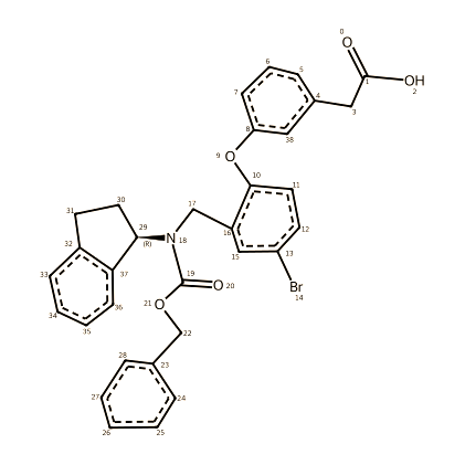 O=C(O)Cc1cccc(Oc2ccc(Br)cc2CN(C(=O)OCc2ccccc2)[C@@H]2CCc3ccccc32)c1